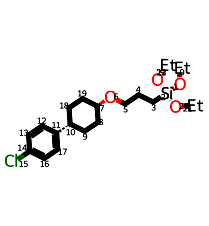 CCO[Si](CCCO[C@H]1CC[C@H](c2ccc(Cl)cc2)CC1)(OCC)OCC